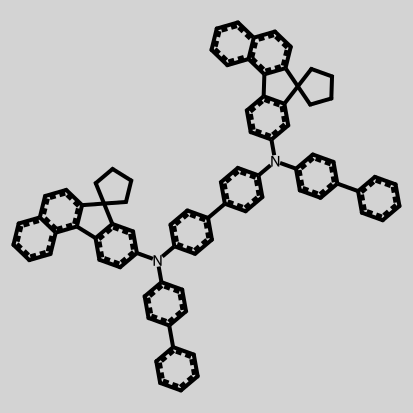 c1ccc(-c2ccc(N(c3ccc(-c4ccc(N(c5ccc(-c6ccccc6)cc5)c5ccc6c(c5)C5(CCCC5)c5ccc7ccccc7c5-6)cc4)cc3)c3ccc4c(c3)C3(CCCC3)c3ccc5ccccc5c3-4)cc2)cc1